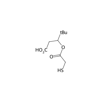 CC(C)(C)C(CC(=O)O)OC(=O)CS